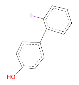 Oc1ccc(-c2ccccc2I)cc1